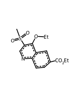 CCOC(=O)c1ccc2ncc(S(C)(=O)=O)c(OCC)c2c1